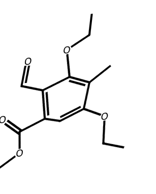 CCOc1cc(C(=O)OC)c(C=O)c(OCC)c1C